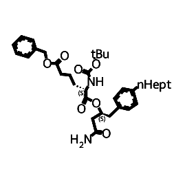 CCCCCCCc1ccc(C[C@@H](CC(N)=O)OC(=O)[C@H](CCCC(=O)OCc2ccccc2)NC(=O)OC(C)(C)C)cc1